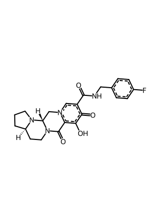 O=C(NCc1ccc(F)cc1)c1cn2c(c(O)c1=O)C(=O)N1CC[C@H]3CCCN3[C@@H]1C2